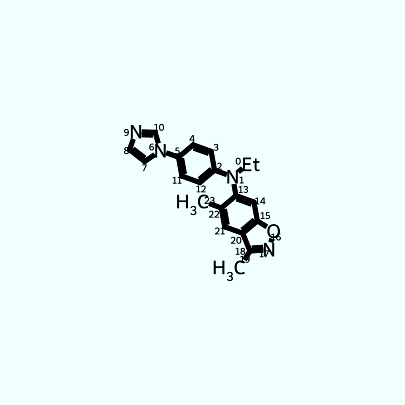 CCN(c1ccc(-n2ccnc2)cc1)c1cc2onc(C)c2cc1C